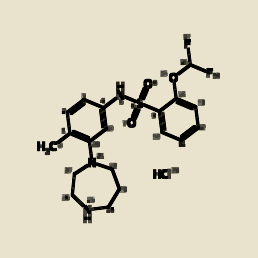 Cc1ccc(NS(=O)(=O)c2ccccc2OC(F)F)cc1N1CCCNCC1.Cl